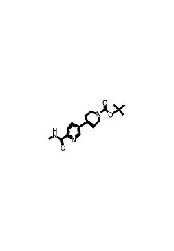 CNC(=O)c1ccc(C2=CCN(C(=O)OC(C)(C)C)CC2)cn1